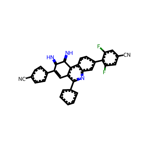 N#Cc1ccc(C2=Cc3c(-c4ccccc4)nc4cc(-c5c(F)cc(C#N)cc5F)ccc4c3C(=N)C2=N)cc1